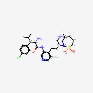 CC(C)[C@H](c1ccc(Cl)cc1)[C@H](N)C(=O)Nc1cncc(F)c1CC[C@H]1CN[C@@H]2CCCS(O)(O)N1C2